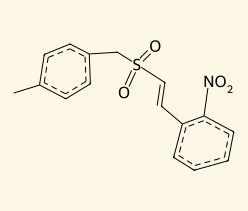 Cc1ccc(CS(=O)(=O)C=Cc2ccccc2[N+](=O)[O-])cc1